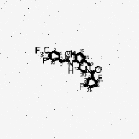 O=C(Cc1ccc(C(F)(F)F)c(F)c1)Nc1c(Cl)ccc2c1CCN(C(=O)c1cc(F)ccc1F)C2